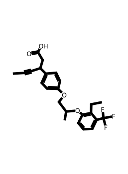 CC#CC(CC(=O)O)c1ccc(OCC(C)Oc2cccc(C(F)(F)F)c2CC)cc1